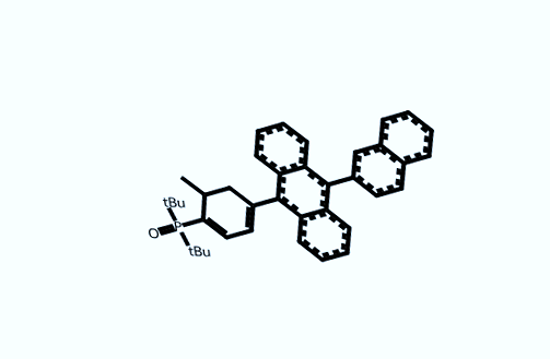 CC1CC(c2c3ccccc3c(-c3ccc4ccccc4c3)c3ccccc23)=CC=C1P(=O)(C(C)(C)C)C(C)(C)C